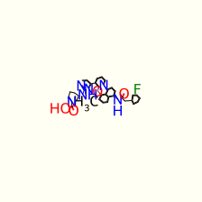 Cc1ccc2c(NC(=O)Cc3cccc(F)c3)cccc2c1Oc1ncccc1-c1ccnc(NC2CCCN(C(=O)O)C2)n1